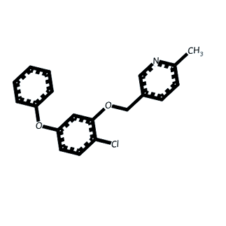 Cc1ccc(COc2cc(Oc3ccccc3)ccc2Cl)cn1